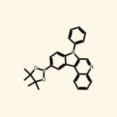 CC1(C)OB(c2ccc3c(c2)c2c4ccccc4ncc2n3-c2ccccc2)OC1(C)C